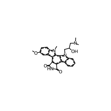 COc1ccc2c(c1)c1c3c(c4c5ccccc5n(CC(O)CN(C)C)c4c1n2C)C(=O)NC3=O